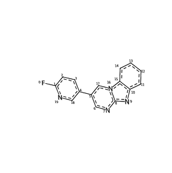 Fc1ccc(-c2cnc3nc4ccccc4n3c2)cn1